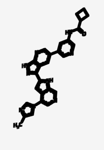 Cc1cn(-c2cncc3[nH]c(-c4n[nH]c5ncc(-c6cncc(NC(=O)C7CCC7)c6)cc45)cc23)cn1